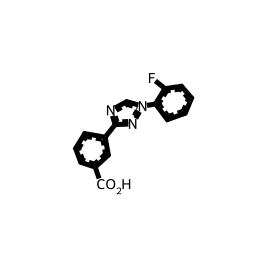 O=C(O)c1cccc(-c2ncn(-c3ccccc3F)n2)c1